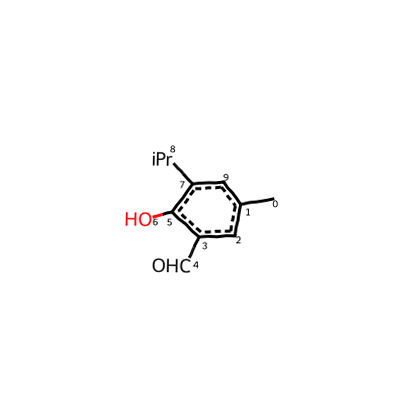 Cc1cc(C=O)c(O)c(C(C)C)c1